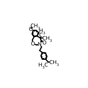 COc1ccc2c(c1)COCN(CCc1ccc(C(C)C)cc1)C(=O)C2(C)C